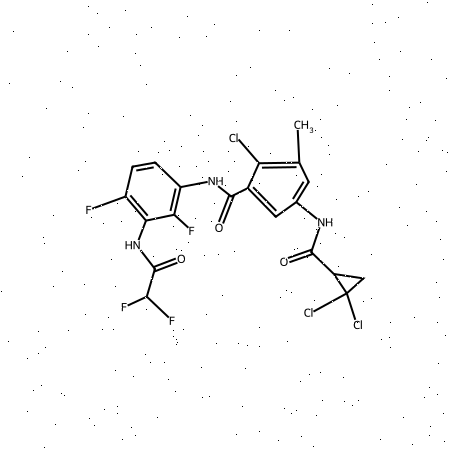 Cc1cc(NC(=O)C2CC2(Cl)Cl)cc(C(=O)Nc2ccc(F)c(NC(=O)C(F)F)c2F)c1Cl